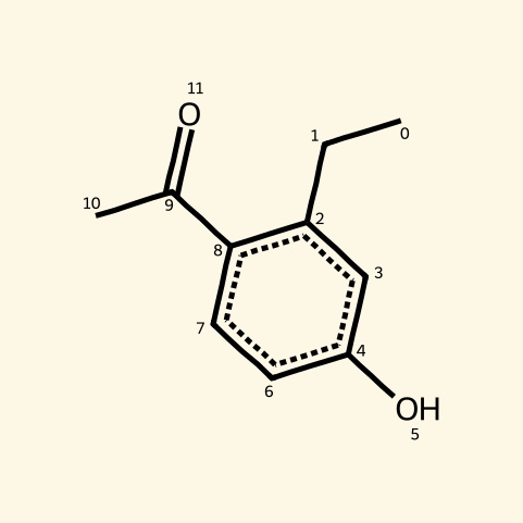 CCc1cc(O)ccc1C(C)=O